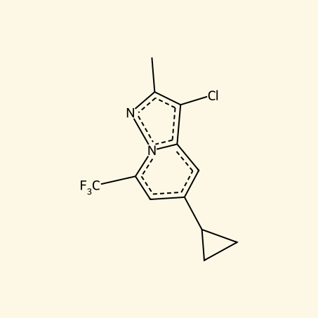 Cc1nn2c(C(F)(F)F)cc(C3CC3)cc2c1Cl